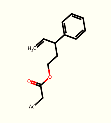 C=CC(CCOC(=O)CC(C)=O)c1ccccc1